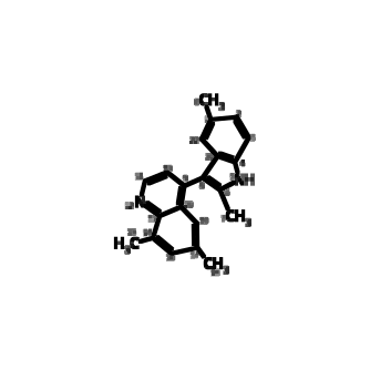 Cc1ccc2[nH]c(C)c(-c3ccnc4c(C)cc(C)cc34)c2c1